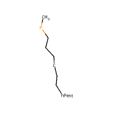 CCCCCCCCCCC[P]C